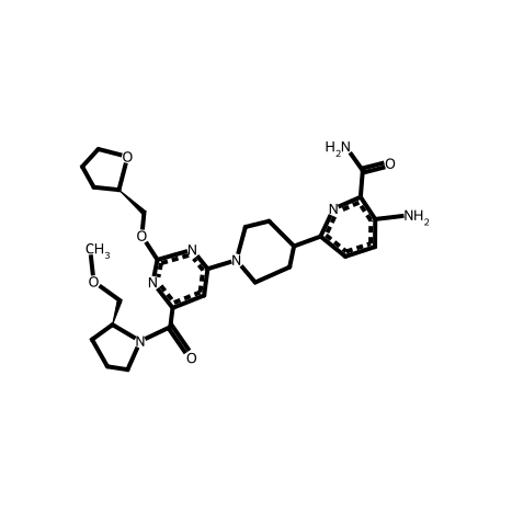 COC[C@@H]1CCCN1C(=O)c1cc(N2CCC(c3ccc(N)c(C(N)=O)n3)CC2)nc(OC[C@H]2CCCO2)n1